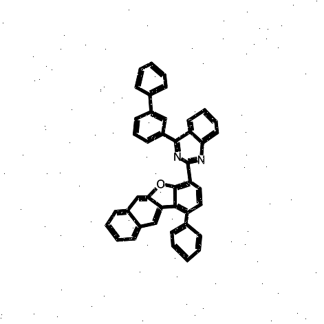 c1ccc(-c2cccc(-c3nc(-c4ccc(-c5ccccc5)c5c4oc4cc6ccccc6cc45)nc4ccccc34)c2)cc1